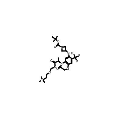 CC1C(=O)N(COCC[Si](C)(C)C)N=C2COc3cc(C(F)(F)F)c(NC4CN(C(=O)OC(C)(C)C)C4)cc3N21